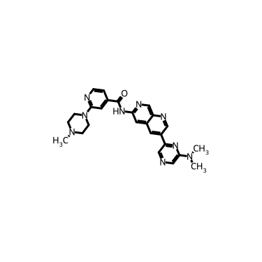 CN1CCN(c2cc(C(=O)Nc3cc4cc(-c5cncc(N(C)C)n5)cnc4cn3)ccn2)CC1